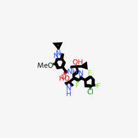 COc1cc(C(=O)NC[C@](O)(c2cc(C3(O)CNC3)c(F)c(-c3cc(Cl)c(F)cc3F)n2)C2CC2)cc2cn(C3CC3)nc12